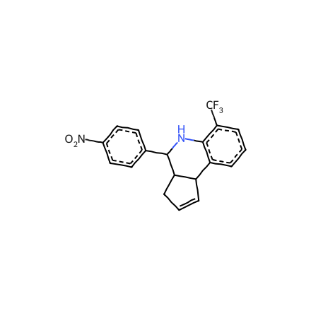 O=[N+]([O-])c1ccc(C2Nc3c(cccc3C(F)(F)F)C3C=CCC32)cc1